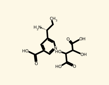 CC[C@@H](N)c1cncc(C(=O)O)c1.O=C(O)C(O)C(O)C(=O)O